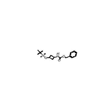 CC(C)(C)[Si](C)(C)OC1CC(NC(=O)OCc2ccccc2)C1